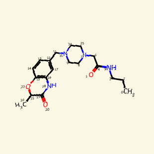 CCCNC(=O)CN1CCN(Cc2ccc3c(c2)NC(=O)C(C)O3)CC1